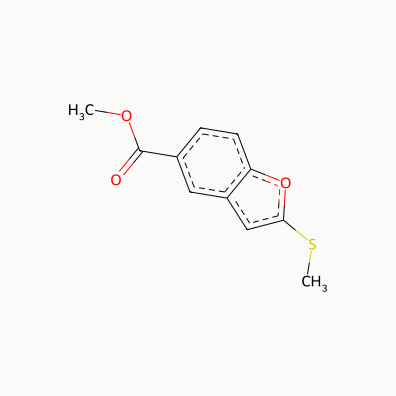 COC(=O)c1ccc2oc(SC)cc2c1